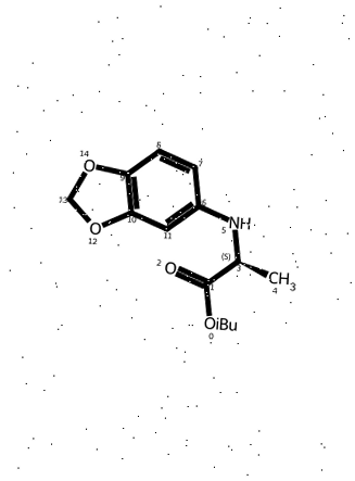 CC(C)COC(=O)[C@H](C)Nc1ccc2c(c1)OCO2